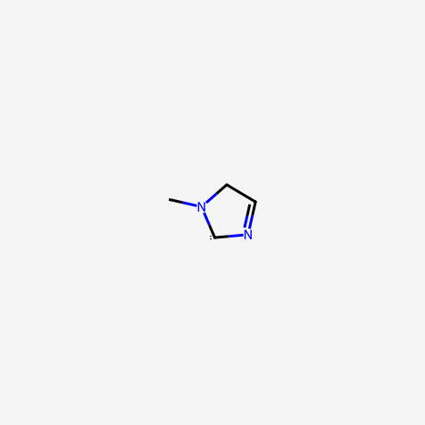 CN1[C]N=CC1